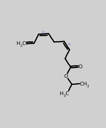 C=C/C=C\C/C=C\CC(=O)OC(C)C